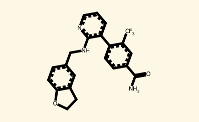 NC(=O)c1ccc(-c2cccnc2NCc2ccc3c(c2)CCO3)c(C(F)(F)F)c1